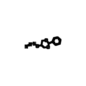 [N-]=[N+]=NOC1COC(c2ccccc2)OC1